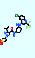 CC(C)c1nn(C2CCS(=O)(=O)C2)cc1C(=O)N[C@@H]1CCC[C@H](Nc2cc(C(F)(F)F)nc3ccc(Cl)cc23)C1